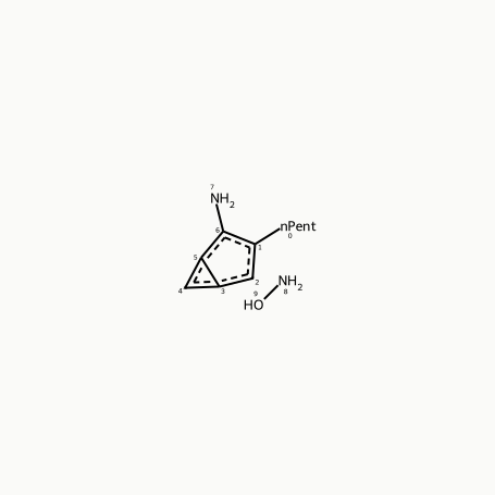 CCCCCc1cc2cc-2c1N.NO